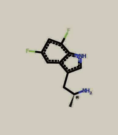 C[C@@H](N)Cc1c[nH]c2c(F)cc(F)cc12